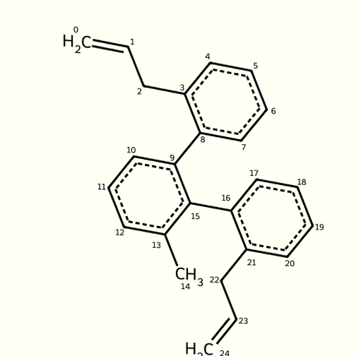 C=CCc1ccccc1-c1cccc(C)c1-c1ccccc1CC=C